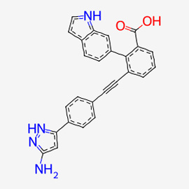 Nc1cc(-c2ccc(C#Cc3cccc(C(=O)O)c3-c3ccc4cc[nH]c4c3)cc2)[nH]n1